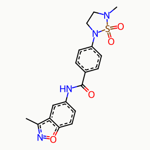 Cc1noc2ccc(NC(=O)c3ccc(N4CCN(C)S4(=O)=O)cc3)cc12